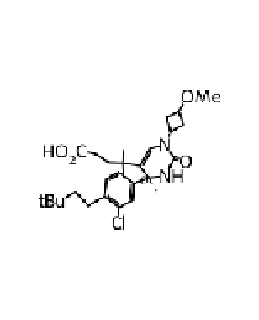 CO[C@H]1C[C@H](N2C=C(C(C)(C)CCC(=O)O)[C@](C)(c3ccc(CCC(C)(C)C)c(Cl)c3)NC2=O)C1